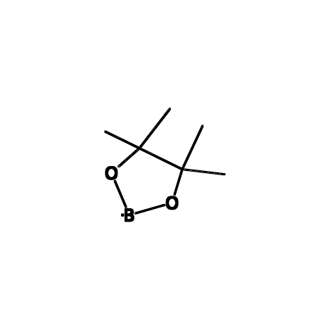 CC1(C)O[B]OC1(C)C